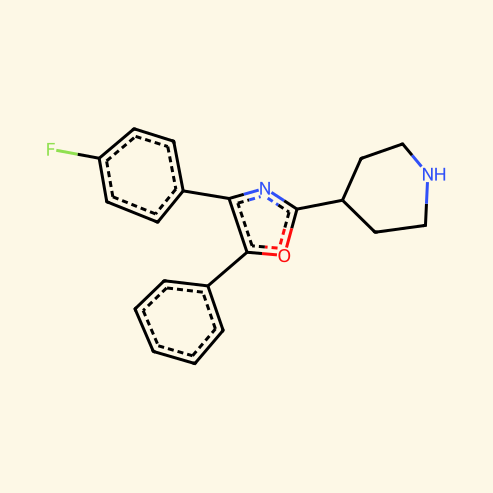 Fc1ccc(-c2nc(C3CCNCC3)oc2-c2ccccc2)cc1